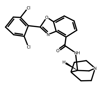 O=C(N[C@@H]1CN2CCC1CC2)c1cccc2oc(-c3c(Cl)cccc3Cl)nc12